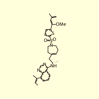 C=C(C)/C=C(\OC)c1ccc(S(=O)(=O)N2CCC=C(C[C@H](C)Nc3ncnc4c(/C(C)=C\C)cccc34)CC2)s1